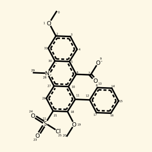 COc1ccc2c(C(=O)[O-])c3c(-c4ccccc4)c(OC)c(S(=O)(=O)Cl)cc3[n+](C)c2c1